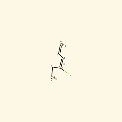 C=C/C=C(/F)CC